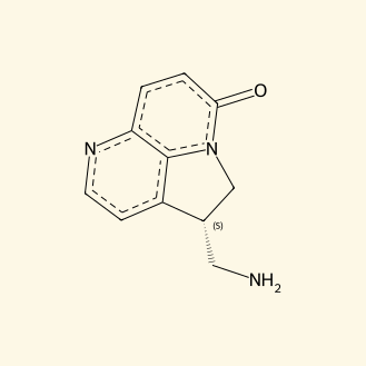 NC[C@H]1Cn2c(=O)ccc3nccc1c32